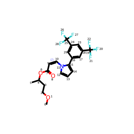 COCCC(C)OC(=O)/C=C\n1cccc1-c1cc(C(F)(F)F)cc(C(F)(F)F)c1